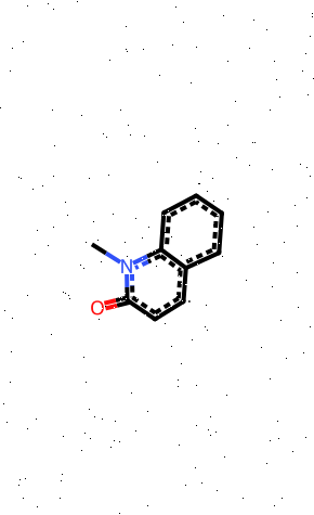 Cn1c(=O)c[c]c2ccccc21